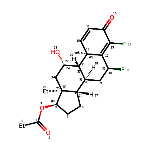 CCC(=O)O[C@@H]1CC[C@H]2[C@@H]3C[C@H](F)C4=C(F)C(=O)C=C[C@]4(C)[C@H]3[C@@H](O)C[C@]12CC